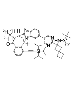 [2H]C([2H])([2H])N1C(=O)c2cccc(C#C[Si](C(C)C)(C(C)C)C(C)C)c2[C@H]2C[C@@H]1c1nc3ccc(-c4cnc(C5(N[S+]([O-])C(C)(C)C)CC6(CCC6)C5)nc4)cc3n12